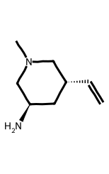 C=C[C@@H]1C[C@@H](N)CN(C)C1